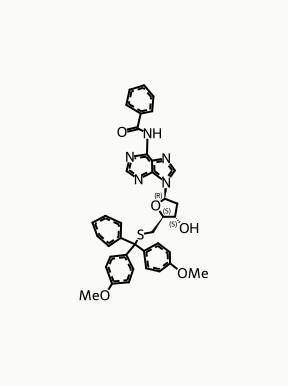 COc1ccc(C(SC[C@H]2O[C@@H](n3cnc4c(NC(=O)c5ccccc5)ncnc43)C[C@@H]2O)(c2ccccc2)c2ccc(OC)cc2)cc1